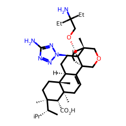 CCC(N)(CC)CO[C@H]1[C@H](n2nnc(N)n2)C[C@@]23COC[C@]1(C)[C@@H]2CC[C@H]1C3=CC[C@@]2(C)[C@H](C(=O)O)[C@@](C)([C@H](C)C(C)C)CC[C@]12C